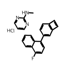 CNc1ncccn1.Cl.Fc1ccc(-c2ccc3c(c2)C=C3)c2ccccc12